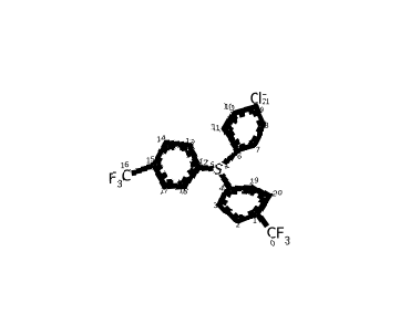 FC(F)(F)c1ccc([S+](c2ccccc2)c2ccc(C(F)(F)F)cc2)cc1.[Cl-]